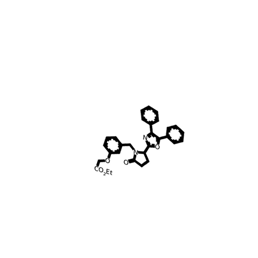 CCOC(=O)COc1cccc(CN2C(=O)CCC2c2nc(-c3ccccc3)c(-c3ccccc3)o2)c1